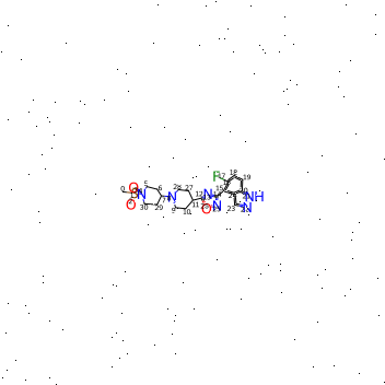 CS(=O)(=O)N1CCC(N2CCC(c3nc(-c4c(F)ccc5[nH]ncc45)no3)CC2)CC1